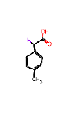 Cc1ccc(C(I)C(=O)O)cc1